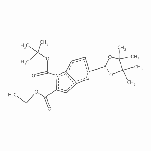 CCOC(=O)c1cc2cc(B3OC(C)(C)C(C)(C)O3)ccc2n1C(=O)OC(C)(C)C